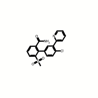 CS(=O)(=O)c1cccc(C(N)=O)c1-c1ccc(Cl)c(-c2ccccn2)c1